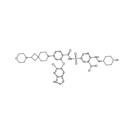 C[C@H]1CC[C@@H](CNc2ncc(S(=O)(=O)NC(=O)c3ccc(N4CCC5(CC4)CC(N4CCOCC4)C5)cc3Oc3cc4cc[nH]c4nc3Cl)cc2[N+](=O)[O-])CC1